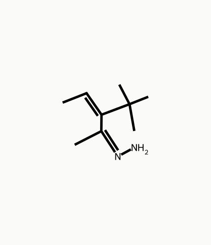 C/C=C(\C(C)=N/N)C(C)(C)C